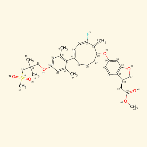 C=C1/C(F)=C\C=C(\c2c(C)cc(OCC(C)(C)CS(C)(=O)=O)cc2C)CCC[C@H]1Oc1ccc2c(c1)OC[C@H]2CC(=O)OC